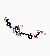 Cc1ncsc1-c1ccc([C@H](C)NC(=O)[C@@H]2C[C@@H](O)CN2C(=O)[C@@H](NC(=O)CCCCCc2cccc(OC[C@@H](C)CCC(N)=O)c2C)C(C)(C)C)cc1